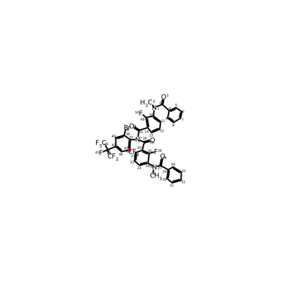 CN(C(=O)c1ccccc1)c1cccc(C(=O)N(C(=O)c2cccc(N(C)C(=O)c3ccccc3)c2F)c2c(Br)cc(C(F)(C(F)(F)F)C(F)(F)F)cc2C(F)(F)F)c1F